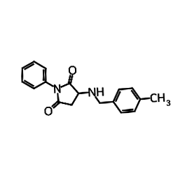 Cc1ccc(CNC2CC(=O)N(c3ccccc3)C2=O)cc1